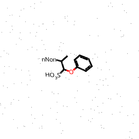 CCCCCCCCCC(C)C(Oc1ccccc1)S(=O)(=O)O